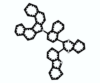 c1ccc2c(c1)ccc1c2c2c3ccccc3ccc2n1-c1ccc(-c2nc3ccccc3nc2-c2cccc3c2sc2ccccc23)c2ccccc12